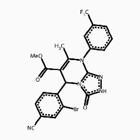 COC(=O)C1=C(C)N(c2cccc(C(F)(F)F)c2)c2n[nH]c(=O)n2C1c1ccc(C#N)cc1Br